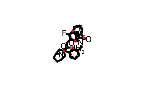 NC(Cc1cc(F)c(F)cc1F)C1CC2CCC(C1)N2C(=O)c1cccc(CN2C(=O)c3ccccc3C2=O)c1